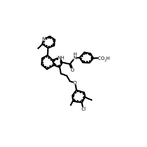 Cc1cc(OCCCc2c(C(=O)Nc3ccc(C(=O)O)cc3)[nH]c3c(-c4cccnc4C)cccc23)cc(C)c1Cl